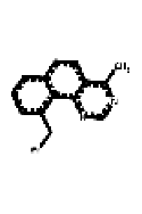 Cc1ncnc2c1ccc1cccc(CC(C)C)c12